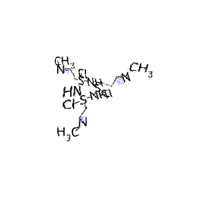 C/N=C/CCS1(Cl)NS(Cl)(C/C=N/C)NS(Cl)(C/C=N/C)N1